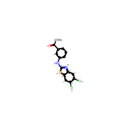 COC(=O)c1cccc(Nc2nc3cc(Cl)c(Cl)cc3s2)c1